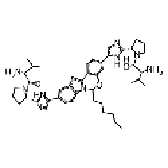 CCCCCCC1Oc2cc(-c3cnc([C@@H]4CCCN4C(O)[C@@H](N)C(C)C)[nH]3)ccc2-c2cc3cc(-c4cnc([C@@H]5CCCN5C(=O)[C@@H](N)C(C)C)[nH]4)ccc3n21